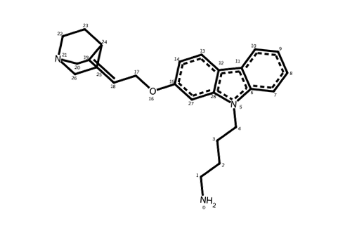 NCCCCn1c2ccccc2c2ccc(OC/C=C3/CN4CCC3CC4)cc21